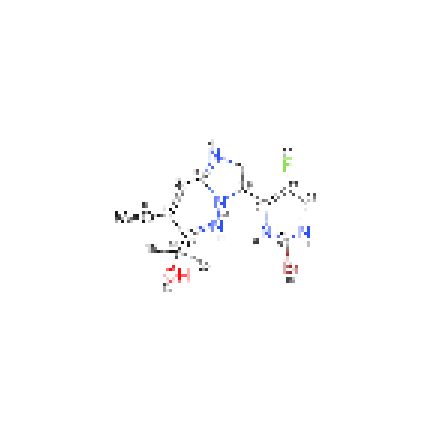 COc1cc2ncc(-c3nc(Br)ncc3F)n2nc1C(C)(C)O